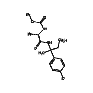 CC(C)OC(=O)NC(C(=O)NC(C)(CC(=O)O)c1ccc(Cl)cc1)C(C)C